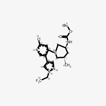 C[C@H]1C[C@H](NC(=O)OC(C)(C)C)CN(c2cc(Cl)ncc2-c2cnn(CC(F)(F)F)c2)C1